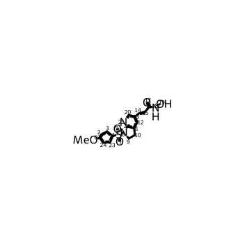 COc1ccc(S(=O)(=O)N2CCc3cc(C=CC(=O)NO)cnc32)cc1